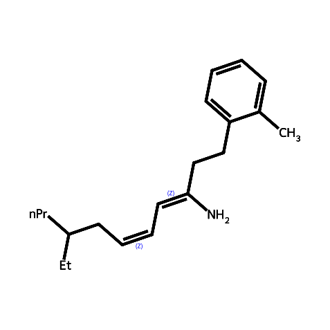 CCCC(CC)C/C=C\C=C(/N)CCc1ccccc1C